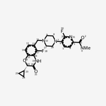 CNC(=O)c1ccc(N2CCN(Cc3ccc4c(c3F)NC(=O)[C@H](C3CC3)O4)CC2)c(F)n1